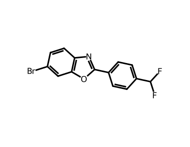 FC(F)c1ccc(-c2nc3ccc(Br)cc3o2)cc1